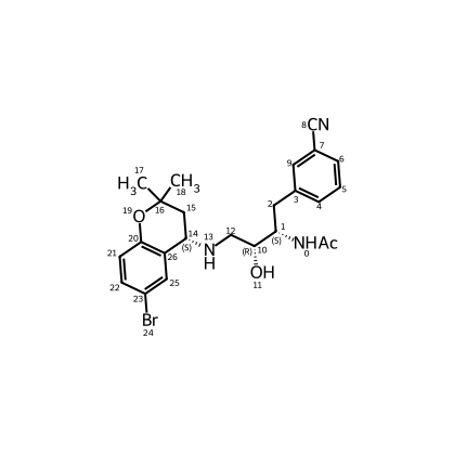 CC(=O)N[C@@H](Cc1cccc(C#N)c1)[C@H](O)CN[C@H]1CC(C)(C)Oc2ccc(Br)cc21